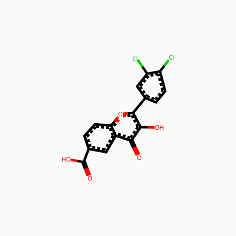 O=C(O)c1ccc2oc(-c3ccc(Cl)c(Cl)c3)c(O)c(=O)c2c1